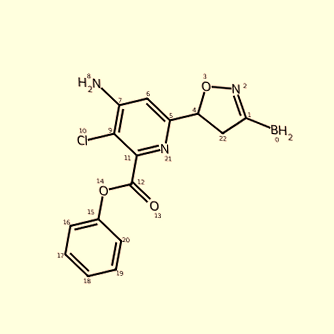 BC1=NOC(c2cc(N)c(Cl)c(C(=O)Oc3ccccc3)n2)C1